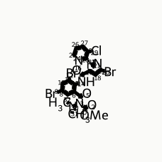 COC(=O)N(C(=O)c1cc(Br)cc(Br)c1NC(=O)c1cc(Br)nn1-c1ncccc1Cl)N(C)C